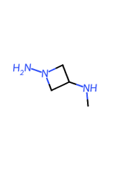 CNC1CN(N)C1